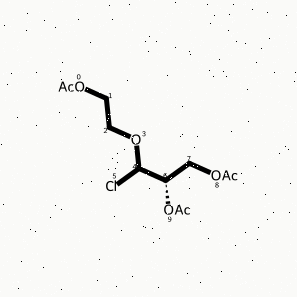 CC(=O)OCCOC(Cl)[C@H](COC(C)=O)OC(C)=O